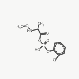 CON[C@@H](C)C(=O)OP(=O)(O)Oc1ccccc1Cl